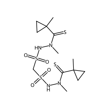 CN(NS(=O)(=O)CS(=O)(=O)NN(C)C(=S)C1(C)CC1)C(=S)C1(C)CC1